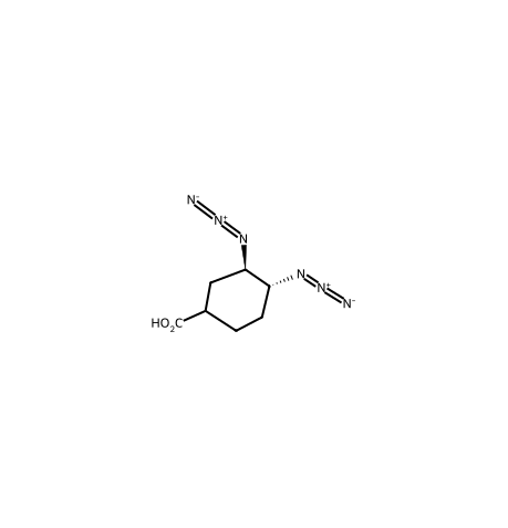 [N-]=[N+]=N[C@@H]1CCC(C(=O)O)C[C@H]1N=[N+]=[N-]